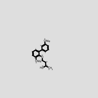 COc1cccc(-c2cccc(OC)c2OCCC(C)S)c1